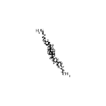 CCCCCCOc1ccc(C(=O)O[C@H]2CO[C@@H]3[C@H]2OC[C@H]3OC(=O)C2CCC(C3CCC(CCCCC)CC3)CC2)cc1